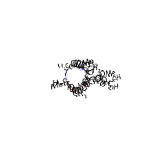 CO[C@H]1C[C@@H]2CC[C@@H](C)[C@@](O)(O2)C(=O)C(=O)N2CCCC[C@H]2C(=O)O[C@H](C(C)C[C@@H]2CC[C@@H](OC(=O)N(CCO)CCO)[C@H](OC)C2)CC(=O)[C@H](C)/C=C(\C)[C@@H](O)[C@@H](OC)C(=O)[C@H](C)C[C@H](C)/C=C/C=C/C=C/1C